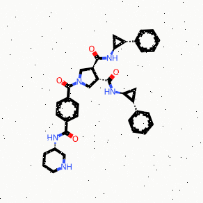 O=C(N[C@H]1CCCNC1)c1ccc(C(=O)N2C[C@@H](C(=O)N[C@H]3C[C@@H]3c3ccccc3)[C@H](C(=O)N[C@H]3C[C@@H]3c3ccccc3)C2)cc1